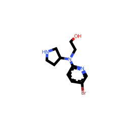 OCCN(c1ccc(Br)cn1)C1CCNC1